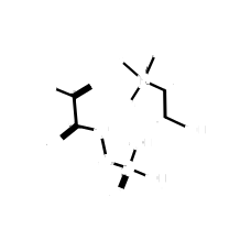 C=C(C)C(=O)OOP(=O)(O)O.C[N+](C)(C)CCO